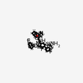 Nc1nc2c(-c3c(Cl)cc4c(NCCN5CC6CCC(C5)N6C(=O)n5cncn5)nc(OC[C@@]56CCCN5C[C@H](F)C6)nc4c3F)ccc(F)c2s1